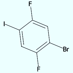 Fc1cc(I)c(F)cc1Br